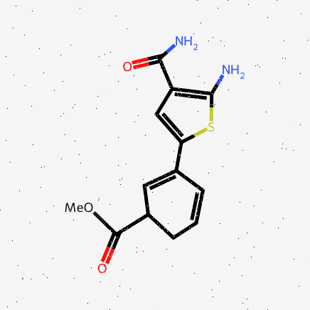 COC(=O)C1C=C(c2cc(C(N)=O)c(N)s2)C=CC1